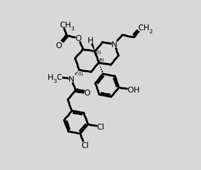 C=CCN1CC[C@@]2(c3cccc(O)c3)C[C@H](N(C)C(=O)Cc3ccc(Cl)c(Cl)c3)CC(OC(C)=O)[C@@H]2C1